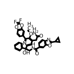 CCOc1c(CC(N)=O)cc([C@@](O)(CNC(=O)c2ccc3nc(C4CC4)oc3c2)c2ccccc2)nc1-c1ccc2c(c1)OC(F)(F)O2